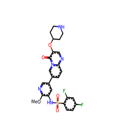 COc1ncc(-c2ccc3ncc(OC4CCNCC4)c(=O)n3c2)cc1NS(=O)(=O)c1ccc(F)cc1F